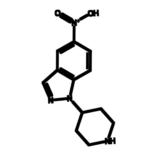 O=[N+](O)c1ccc2c(cnn2C2CCNCC2)c1